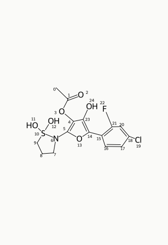 CC(=O)Oc1c(N2CCCS2(O)O)oc(-c2ccc(Cl)cc2F)c1O